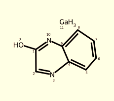 Oc1cnc2ccccc2n1.[GaH3]